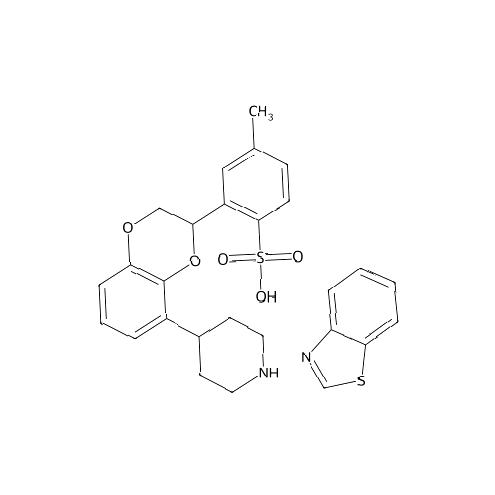 Cc1ccc(S(=O)(=O)O)c(C2COc3cccc(C4CCNCC4)c3O2)c1.c1ccc2scnc2c1